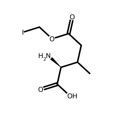 CC(CC(=O)OCI)[C@H](N)C(=O)O